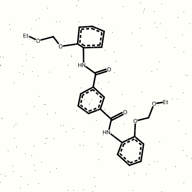 CCOCOc1ccccc1NC(=O)c1cccc(C(=O)Nc2ccccc2OCOCC)c1